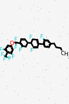 CCCCc1ccc(C2=CC(F)C(C3C=CC(C(F)(F)Oc4cc(F)c(C(F)(F)F)c(F)c4)=C(F)C3)C(F)=C2)c(F)c1